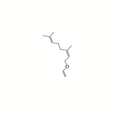 C=COCC=C(C)CCC=C(C)C